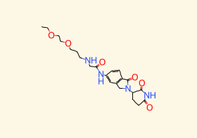 CCOCCOCCCNCC(=O)Nc1ccc2c(c1)CN(C1CCC(=O)NC1=O)C2=O